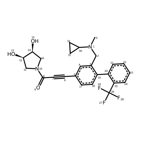 CN(Cc1cc(C#CC(=O)N2C[C@@H](O)[C@@H](O)C2)ccc1-c1ccccc1C(F)(F)F)C1CC1